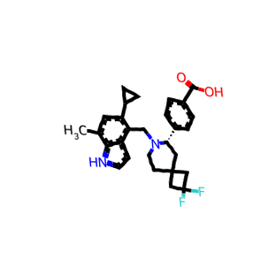 Cc1cc(C2CC2)c(CN2CCC3(C[C@H]2c2ccc(C(=O)O)cc2)CC(F)(F)C3)c2cc[nH]c12